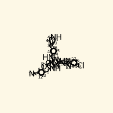 COC(=O)[C@H](Cc1ccc(C#N)cc1)Nc1nc(NCc2nc3cc(Cl)ccc3[nH]2)nc(Nc2cccc(CN3CCNCC3)c2)n1